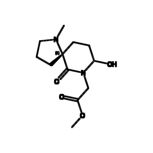 COC(=O)CN1C(=O)[C@@]2(CCCN2C)CCC1O